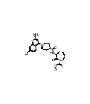 CCNC(=S)N1CCCC[C@H](NC(=O)N2CCN(c3cc(N)nc4cc(Cl)ccc34)CC2)C1=O